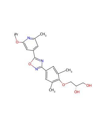 Cc1cc(-c2nc(-c3cc(C)c(OC[C@@H](O)CO)c(C)c3)no2)cc(OC(C)C)n1